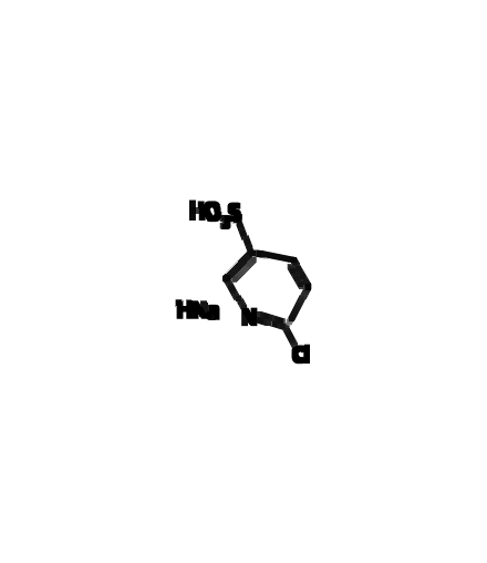 O=S(=O)(O)c1ccc(Cl)nc1.[NaH]